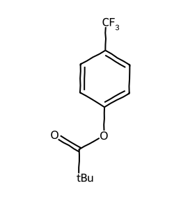 CC(C)(C)C(=O)Oc1ccc(C(F)(F)F)cc1